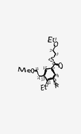 CCOCCSC(=O)c1cc(F)c(CC)c(CCOC)c1